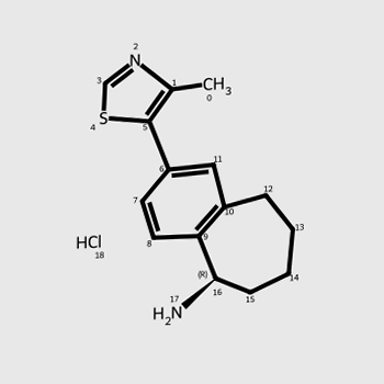 Cc1ncsc1-c1ccc2c(c1)CCCC[C@H]2N.Cl